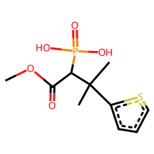 COC(=O)C(C(C)(C)c1cccs1)P(=O)(O)O